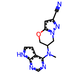 CN(c1ncnc2[nH]ccc12)C1COc2cc(C#N)nn2C1